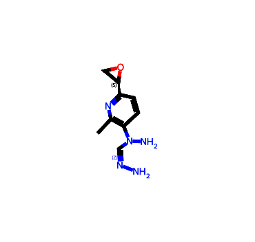 Cc1nc([C@H]2CO2)ccc1N(N)/C=N\N